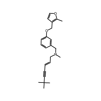 Cc1occc1COc1cccc(CN(C)CC=CC#CC(C)(C)C)c1